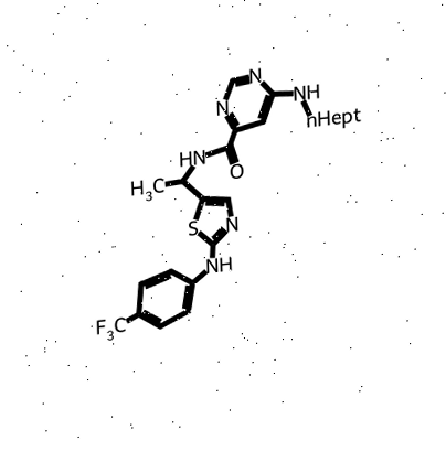 CCCCCCCNc1cc(C(=O)NC(C)c2cnc(Nc3ccc(C(F)(F)F)cc3)s2)ncn1